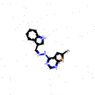 CC(C)c1cc2c(N/N=C\c3c[nH]c4ccccc34)ncnc2s1